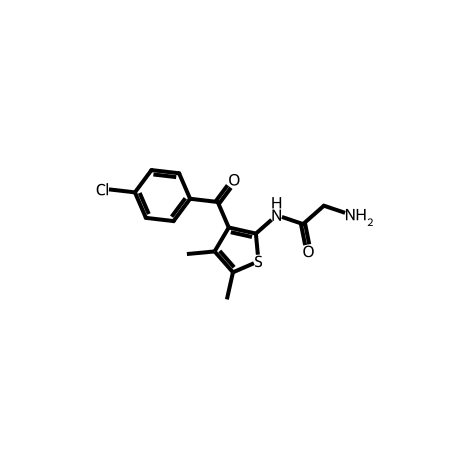 Cc1sc(NC(=O)CN)c(C(=O)c2ccc(Cl)cc2)c1C